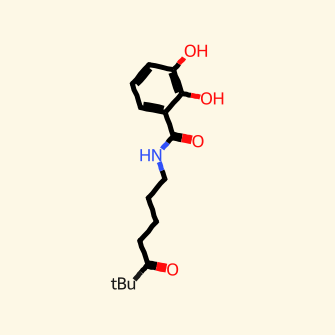 CC(C)(C)C(=O)CCCCNC(=O)c1cccc(O)c1O